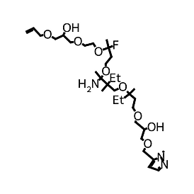 C=CCOCC(O)COCCOC(C)(F)CCOC(C)(N)C(C)(CC)COC(C)(CC)CCOCC(O)COCc1ccnn1C